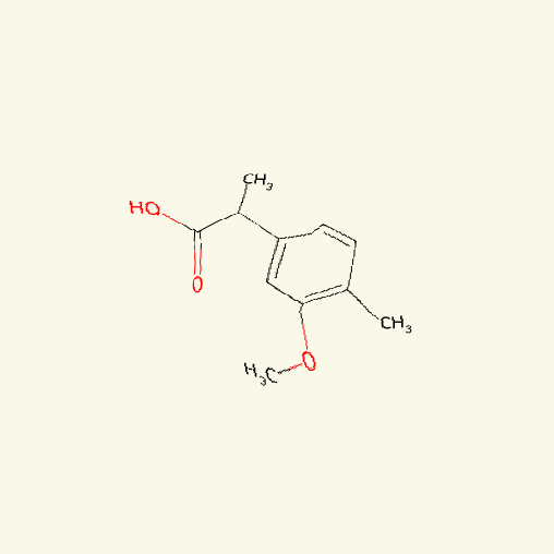 COc1cc(C(C)C(=O)O)ccc1C